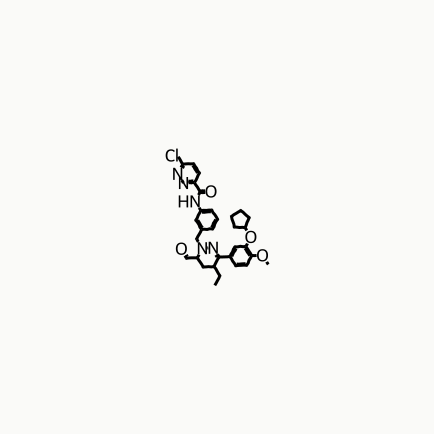 CCC1CC(C=O)N(Cc2cccc(NC(=O)c3ccc(Cl)nn3)c2)N=C1c1ccc(OC)c(OC2CCCC2)c1